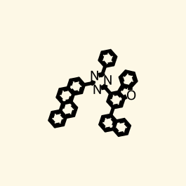 c1ccc(-c2nc(-c3ccc4ccc5c6ccccc6ccc5c4c3)nc(-c3cc(-c4cccc5ccccc45)cc4oc5ccccc5c34)n2)cc1